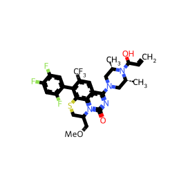 C=CC(O)N1[C@H](C)CN(c2nc(=O)n3c4c(c(-c5cc(F)c(F)cc5F)c(C(F)(F)F)cc24)SCC3COC)C[C@@H]1C